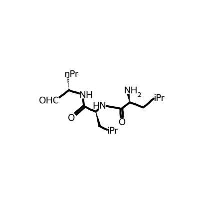 CCC[C@@H](C=O)NC(=O)[C@H](CC(C)C)NC(=O)[C@@H](N)CC(C)C